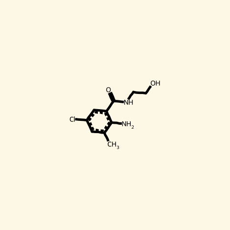 Cc1cc(Cl)cc(C(=O)NCCO)c1N